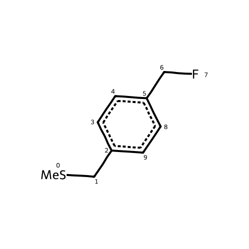 CSCc1ccc(CF)cc1